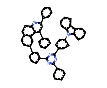 c1ccc(-c2cc(-c3ccccc3)c3c(ccc4ccc(-c5cccc(-c6nc(-c7ccccc7)nc(-c7ccc(-n8c9ccccc9c9ccccc98)cc7)n6)c5)cc43)n2)cc1